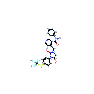 CN(C(=O)c1cnccc1CN1CC(=O)N(c2ccc(SC(F)(F)F)cc2)C1=O)c1ccccc1